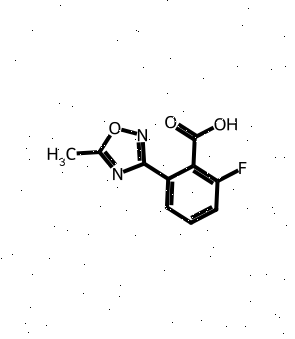 Cc1nc(-c2cccc(F)c2C(=O)O)no1